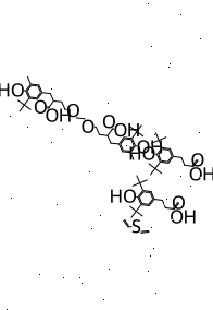 C=CSC=C.CC(C)(C)c1cc(CCC(=O)O)cc(C(C)(C)C)c1O.CC(C)(C)c1cc(CCC(=O)O)cc(C(C)(C)C)c1O.Cc1cc(CC(CCOCCOCCC(Cc2cc(C)c(O)c(C(C)(C)C)c2)C(=O)O)C(=O)O)cc(C(C)(C)C)c1O